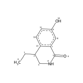 CCC1CNC(=O)c2cc(O)ccc21